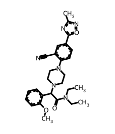 CCN(CC)C(=O)C(c1ccccc1OC)N1CCN(c2ccc(-c3nc(C)no3)cc2C#N)CC1